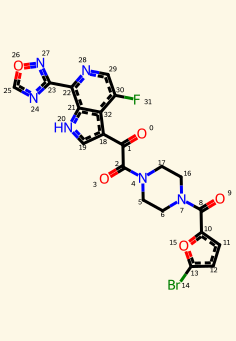 O=C(C(=O)N1CCN(C(=O)c2ccc(Br)o2)CC1)c1c[nH]c2c(-c3ncon3)ncc(F)c12